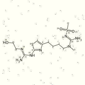 CN(CCCCc1csc(NC(N)=NCCO)n1)C(N)=NS(C)(=O)=O